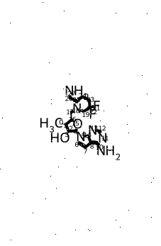 C[C@H]1[C@@H](O)[C@H](n2ccc3c(N)ncnc32)O[C@@H]1CN1CC(F)(F)CCC1CN